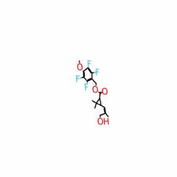 COc1c(F)c(F)c(COC(=O)C2C(C=C(C)CO)C2(C)C)c(F)c1F